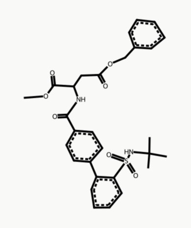 COC(=O)C(CC(=O)OCc1ccccc1)NC(=O)c1ccc(-c2ccccc2S(=O)(=O)NC(C)(C)C)cc1